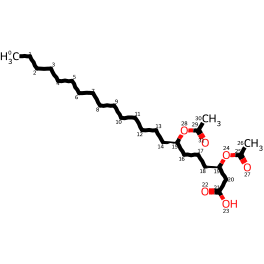 CCCCCCCCCCCCCCC[C@H](CCC[C@H](CC(=O)O)OC(C)=O)OC(C)=O